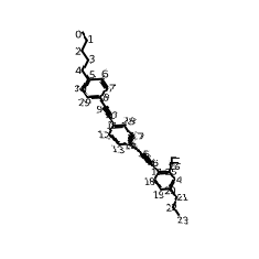 CCCCCc1ccc(C#Cc2ccc(C#Cc3ccc(CCC)cc3F)cc2)cc1